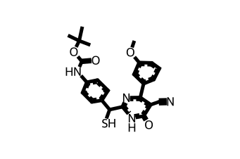 COc1cccc(-c2nc(C(S)c3ccc(NC(=O)OC(C)(C)C)cc3)[nH]c(=O)c2C#N)c1